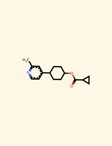 Cc1cc(C2CCC(OC(=O)C3CC3)CC2)ccn1